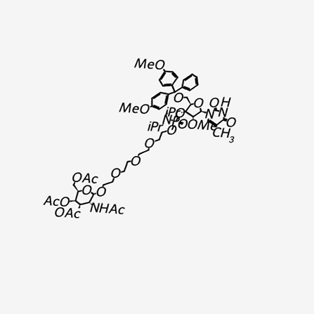 COc1ccc(C(OC[C@H]2O[C@@H](n3cc(C)c(=O)[nH]c3=O)[C@H](OC)[C@@H]2OP(=O)(OCCOCCOCCOCCO[C@@H]2O[C@H](COC(C)=O)[C@H](OC(C)=O)[C@H](OC(C)=O)[C@H]2NC(C)=O)N(C(C)C)C(C)C)(c2ccccc2)c2ccc(OC)cc2)cc1